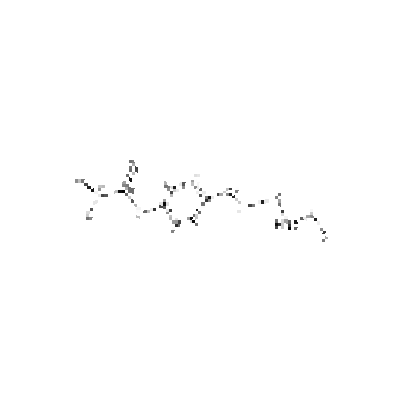 CCNCCOc1ccc(CC(=O)C(C)C)cc1